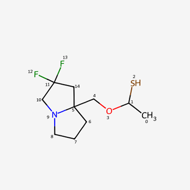 CC(S)OCC12CCCN1CC(F)(F)C2